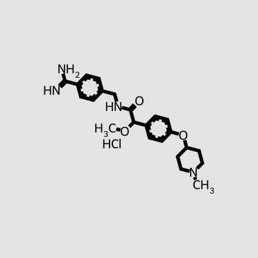 COC(C(=O)NCc1ccc(C(=N)N)cc1)c1ccc(OC2CCN(C)CC2)cc1.Cl